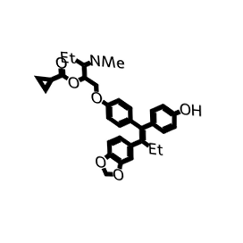 CCC(=C(c1ccc(O)cc1)c1ccc(OCC(OC(=O)C2CC2)C(CC)NC)cc1)c1ccc2c(c1)OCO2